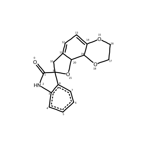 O=C1Nc2ccccc2C12CC1=CC=C3OCCOC3C1O2